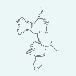 CNc1cc(Cl)cnc1-c1n[nH]c(=O)c2ccccc12